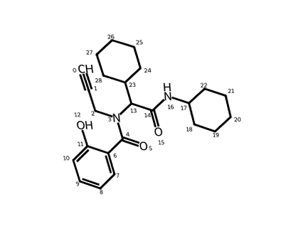 C#CCN(C(=O)c1ccccc1O)C(C(=O)NC1CCCCC1)C1CCCCC1